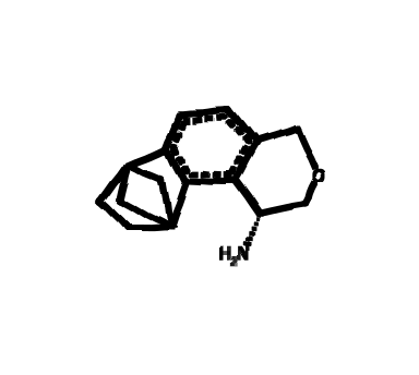 N[C@H]1COCc2ccc3c(c21)C12CCC3(C1)C2